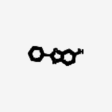 [2H]c1ccc2nc(-c3ccccc3)oc2c1